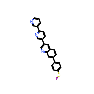 ISc1ccc(-c2ccc3cc(-c4ccc(-c5cccnc5)nc4)cnc3c2)cc1